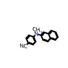 CN(c1ccc(C#N)cc1)c1ccc2ccccc2c1